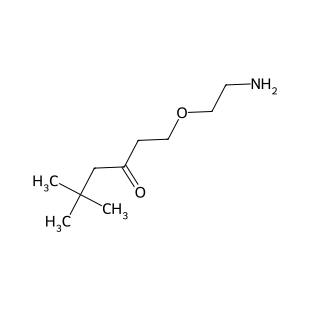 CC(C)(C)CC(=O)CCOCCN